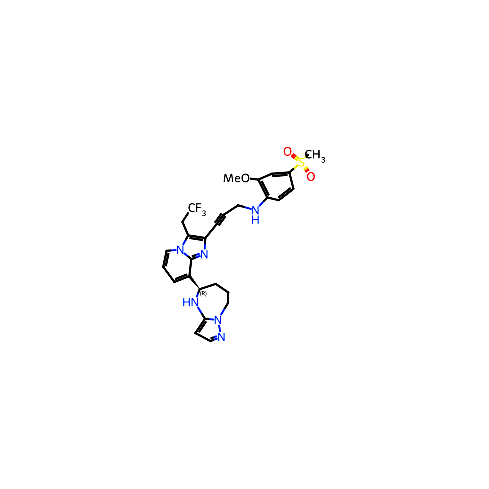 COc1cc(S(C)(=O)=O)ccc1NCC#Cc1nc2c([C@H]3CCCn4nccc4N3)cccn2c1CC(F)(F)F